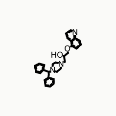 OC(COc1cccc2ncccc12)CN1CCN(C(c2ccccc2)c2ccccc2)CC1